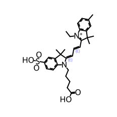 CC[N+]1=C(/C=C/C=C2/N(CCCCC(=O)O)c3ccc(S(=O)(=O)O)cc3C2(C)C)C(C)(C)c2cc(C)ccc21